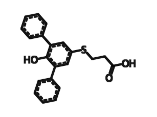 O=C(O)CCSc1cc(-c2ccccc2)c(O)c(-c2ccccc2)c1